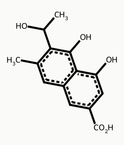 Cc1cc2cc(C(=O)O)cc(O)c2c(O)c1C(C)O